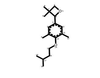 Cc1cc(C2OCC2(C)C)cc(C)c1OCCC(C)C